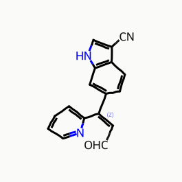 N#Cc1c[nH]c2cc(/C(=C/C=O)c3ccccn3)ccc12